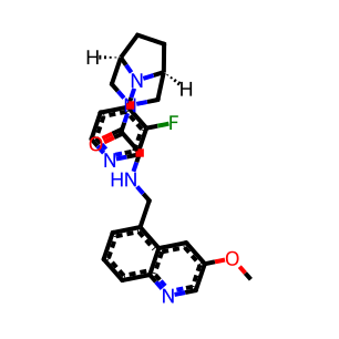 COc1cnc2cccc(CNCC(=O)N3C[C@H]4CC[C@@H](C3)N4c3ccncc3F)c2c1